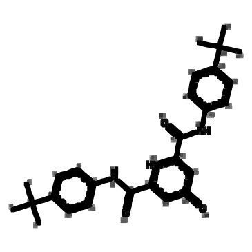 CC(C)(C)c1ccc(NC(=O)c2cc(=O)cc(C(=O)Nc3ccc(C(C)(C)C)cc3)[nH]2)cc1